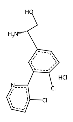 Cl.N[C@H](CO)c1ccc(Cl)c(-c2ncccc2Cl)c1